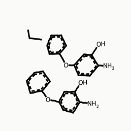 CCC.Nc1ccc(Oc2ccccc2)cc1O.Nc1ccc(Oc2ccccc2)cc1O